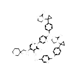 O=C1OCCN1C1(c2ccc(Oc3ccc(-n4ncc(NC[C@@]5(F)CCCOC5)c(Cl)c4=O)cn3)cc2)CC1.O=C1OCCN1C1(c2ccc(Oc3ccc(Br)cn3)cc2)CC1